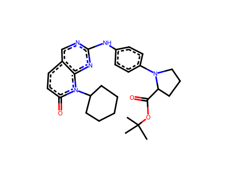 CC(C)(C)OC(=O)C1CCCN1c1ccc(Nc2ncc3ccc(=O)n(C4CCCCC4)c3n2)cc1